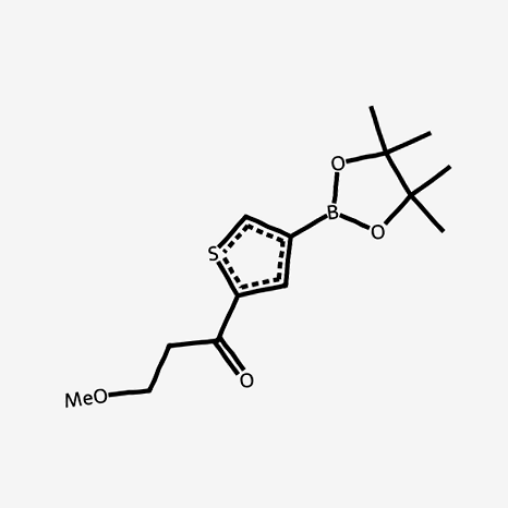 COCCC(=O)c1cc(B2OC(C)(C)C(C)(C)O2)cs1